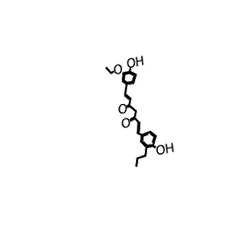 CCCc1cc(/C=C/C(=O)CC(=O)/C=C/c2ccc(O)c(OCC)c2)ccc1O